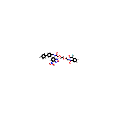 Cc1ccc(-c2ccc(CN(C(=O)COCCOCCN3C(=O)c4ccccc4C(F)C3=O)c3ccc([N+](=O)[O-])c4nonc34)cc2)cc1